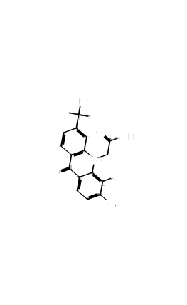 O=C(O)Cn1c2cc(C(F)(F)F)ccc2c(=O)c2ccc(Cl)c(Cl)c21